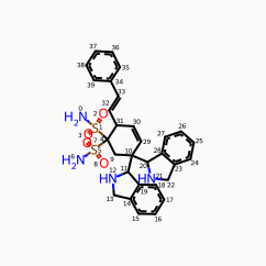 NS(=O)(=O)C1(S(N)(=O)=O)CC(C2NCc3ccccc32)(C2NCc3ccccc32)C=CC1C=Cc1ccccc1